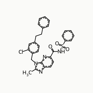 Cc1nc2ccc(C(=O)NS(=O)(=O)c3ccccc3)nc2n1Cc1ccc(CCc2ccccc2)cc1Cl